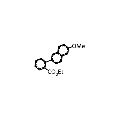 CCOC(=O)c1ccccc1-c1ccc2cc(OC)ccc2c1